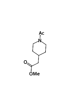 COC(=O)CC1CCN(C(C)=O)CC1